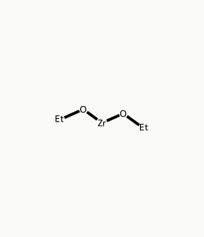 CC[O][Zr][O]CC